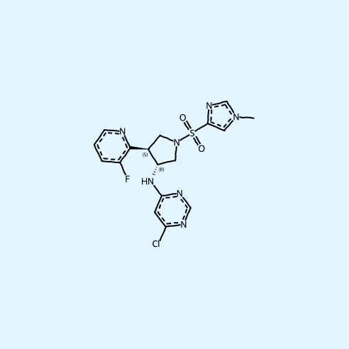 Cn1cnc(S(=O)(=O)N2C[C@H](Nc3cc(Cl)ncn3)[C@@H](c3ncccc3F)C2)c1